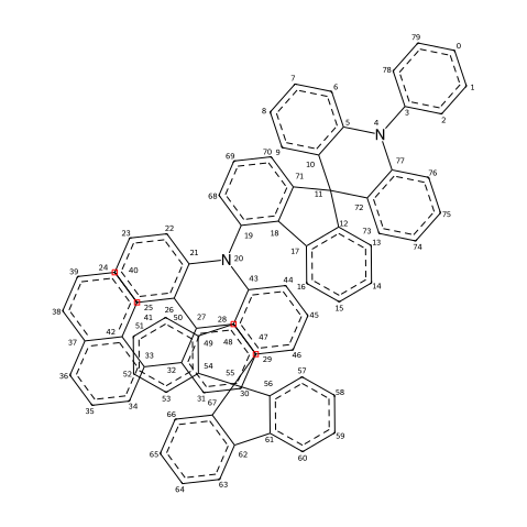 c1ccc(N2c3ccccc3C3(c4ccccc4-c4c(N(c5ccccc5-c5ccccc5-c5cccc6ccccc56)c5cccc6c5-c5ccccc5C65c6ccccc6-c6ccccc65)cccc43)c3ccccc32)cc1